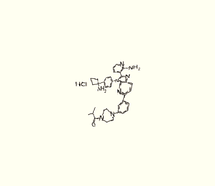 CC(C)C(=O)N1CCN(c2cccc(-c3ccc4nc(-c5cccnc5N)n(-c5ccc(C6(N)CCC6)cc5)c4n3)c2)CC1.Cl